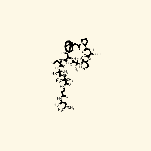 CCCCCCCCC(NC(=O)[C@@H]1CCCN1C(=O)CC12CC3CC(CC(C3)C1)C2)C(=O)NC(CC(C)C)C(=O)NC(C)(C)C(=O)NC(CC(C)C)C(=O)NC(CC(C)C)C(=O)NC(C)(C)C(=O)NC(C)(C)C(=O)NCCC(=O)NC(C)CN(C)C